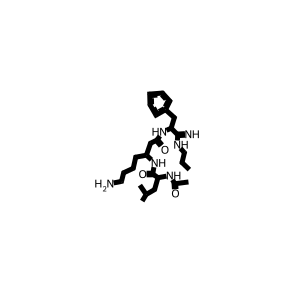 CCCNC(=N)C(Cc1ccccc1)NC(=O)CC(CCCCN)NC(=O)C(CC(C)C)NC(C)=O